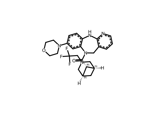 O=C([C@@H]1[C@@H]2C[C@H]1CN(CC(F)(F)F)C2)N1Cc2cccnc2Nc2ccc(N3CCOCC3)cc21